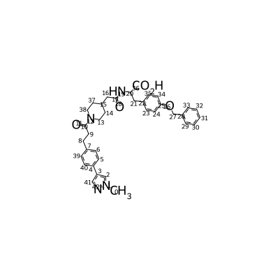 Cn1cc(-c2ccc(CCC(=O)N3CCC(CC(=O)NC(Cc4ccc(OCc5ccccc5)cc4)C(=O)O)CC3)cc2)cn1